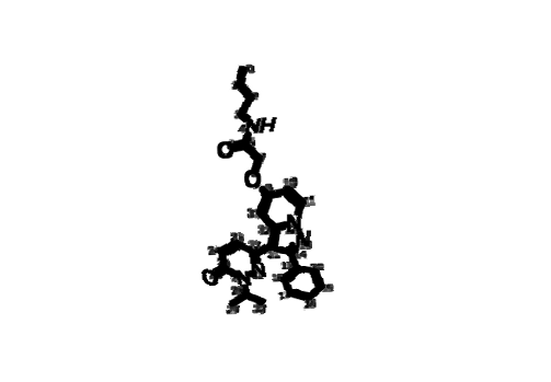 CCCCNC(=O)COc1ccn2nc(-c3ccccc3)c(-c3ccc(=O)n(C(C)C)n3)c2c1